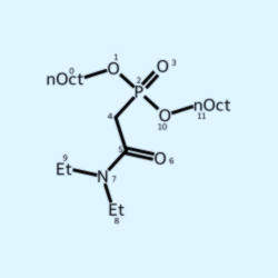 CCCCCCCCOP(=O)(CC(=O)N(CC)CC)OCCCCCCCC